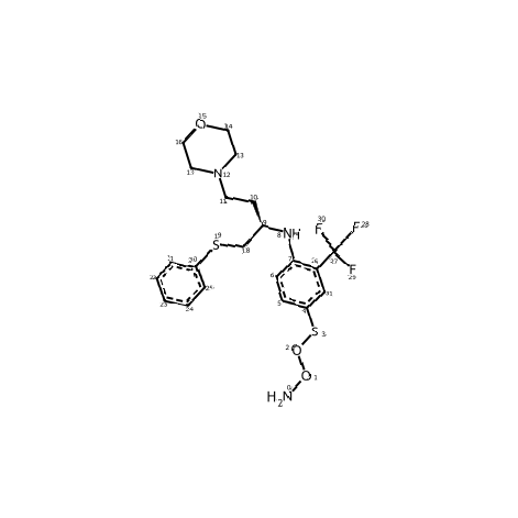 NOOSc1ccc(N[C@H](CCN2CCOCC2)CSc2ccccc2)c(C(F)(F)F)c1